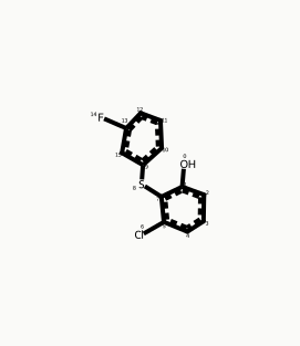 Oc1cccc(Cl)c1Sc1cccc(F)c1